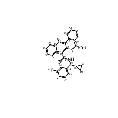 O=C(O)Cc1c(-c2ccccc2)nc2ccccc2c1C(=O)N[C@H](c1cccc(F)c1)C1CC1